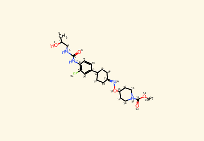 CC(O)CNC(=O)Nc1ccc(C2CCC(=NOC3CCN(C(=O)OC(C)C)CC3)CC2)cc1F